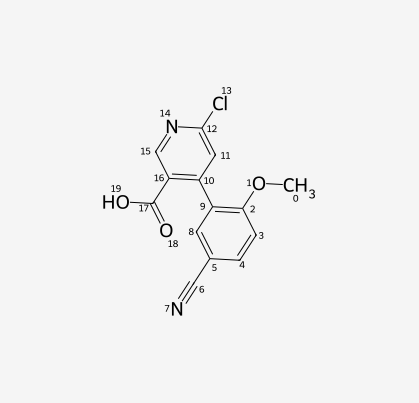 COc1ccc(C#N)cc1-c1cc(Cl)ncc1C(=O)O